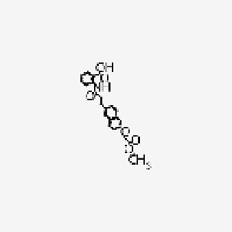 CCOC(=O)COc1ccc2cc(CCC(=O)Nc3ccccc3C(=O)O)ccc2c1